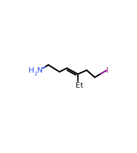 CC/C(=C\CCN)CCI